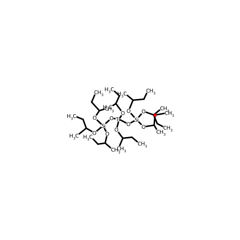 CCC(C)O[Si](OC(C)CC)(OC(C)CC)[O][Ti]([O]C(C)CC)([O]C(C)CC)[O][Si](OC(C)CC)(OC(C)CC)OC(C)CC